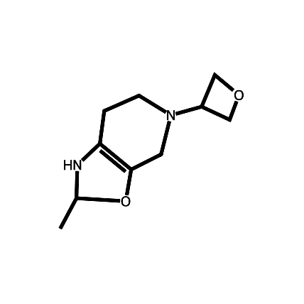 CC1NC2=C(CN(C3COC3)CC2)O1